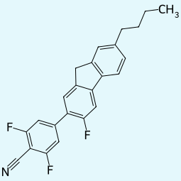 CCCCc1ccc2c(c1)Cc1cc(-c3cc(F)c(C#N)c(F)c3)c(F)cc1-2